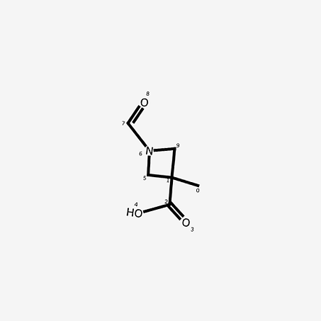 CC1(C(=O)O)CN(C=O)C1